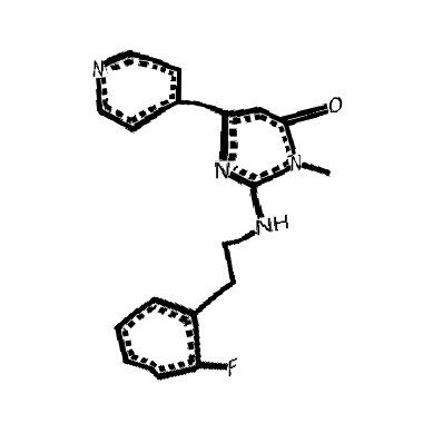 Cn1c(NCCc2ccccc2F)nc(-c2ccncc2)cc1=O